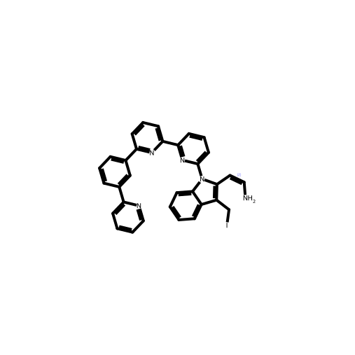 N/C=C\c1c(CI)c2ccccc2n1-c1cccc(-c2cccc(-c3cccc(-c4ccccn4)c3)n2)n1